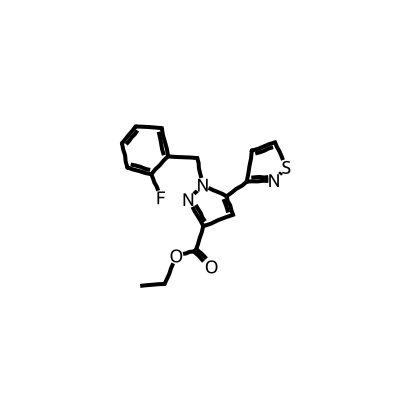 CCOC(=O)c1cc(-c2ccsn2)n(Cc2ccccc2F)n1